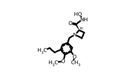 CCCc1cc(CN2CC[C@@H]2C(=O)NO)cc(OC)c1OC